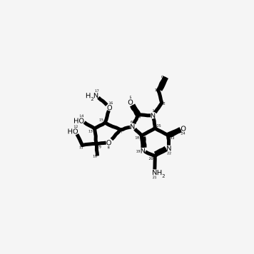 C=CCN1C(=O)N(C2OC(C)(CO)C(O)C2ON)C2=NC(N)=NC(=O)C21